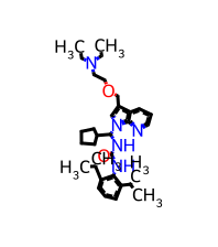 CCN(CC)CCOCc1cn(C(NC(=O)Nc2c(C(C)C)cccc2C(C)C)C2CCCC2)c2ncccc12